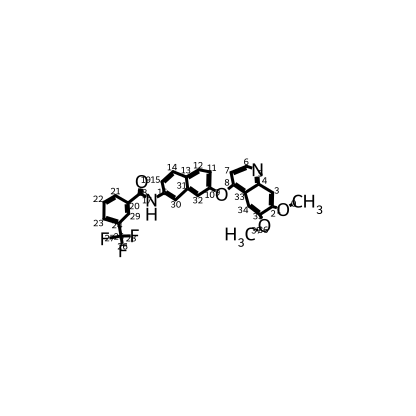 COc1cc2nccc(Oc3ccc4ccc(NC(=O)c5cccc(C(F)(F)F)c5)cc4c3)c2cc1OC